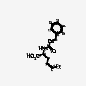 CC/C=C\C[C@H](NC(=O)OCc1ccccc1)C(=O)O